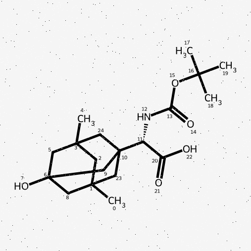 CC12CC3(C)CC(O)(C1)CC([C@H](NC(=O)OC(C)(C)C)C(=O)O)(C2)C3